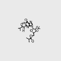 CC(C)C(=O)Nc1nc2c(ncn2C2OC(COC(=O)C(C)C)C3OC(C)(C)OC32)c(=O)[nH]1